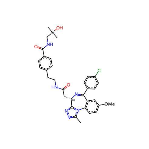 COc1ccc2c(c1)C(c1ccc(Cl)cc1)=N[C@@H](CC(=O)NCCc1ccc(C(=O)NC[Si](C)(C)O)cc1)c1nnc(C)n1-2